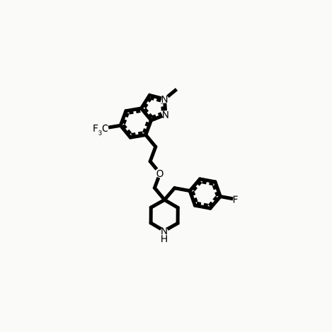 Cn1cc2cc(C(F)(F)F)cc(CCOCC3(Cc4ccc(F)cc4)CCNCC3)c2n1